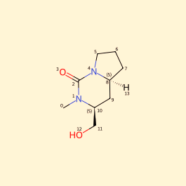 CN1C(=O)N2CCC[C@H]2C[C@H]1CO